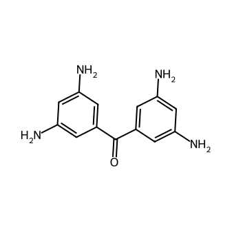 Nc1cc(N)cc(C(=O)c2cc(N)cc(N)c2)c1